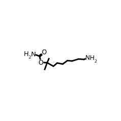 CC(C)(CCCCCCCN)OC(N)=O